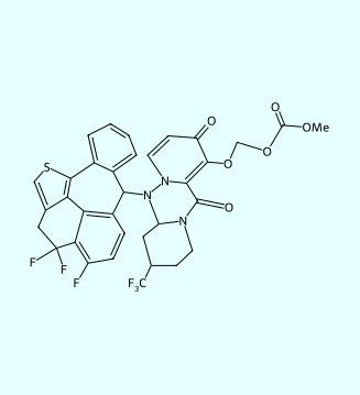 COC(=O)OCOc1c2n(ccc1=O)N(C1c3ccccc3-c3scc4c3-c3c1ccc(F)c3C(F)(F)C4)C1CC(C(F)(F)F)CCN1C2=O